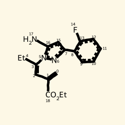 C=C(/C=C(/CC)n1nc(-c2ccccc2F)cc1N)C(=O)OCC